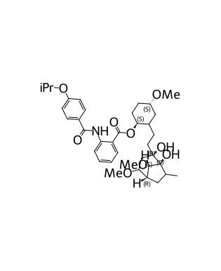 COC1C[C@](O)(CCC2C[C@@H](OC)CC[C@@H]2OC(=O)c2ccccc2NC(=O)c2ccc(OC(C)C)cc2)[C@]2(O)C(C)C[C@H]1[C@@H]2OC